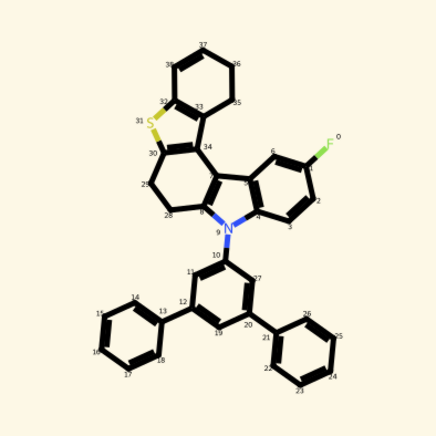 Fc1ccc2c(c1)c1c(n2-c2cc(-c3ccccc3)cc(-c3ccccc3)c2)CCc2sc3c(c2-1)CCC=C3